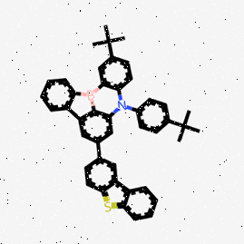 CC(C)(C)c1ccc(N2c3ccc(C(C)(C)C)cc3B3c4ccccc4-c4cc(-c5ccc6sc7ccccc7c6c5)cc2c43)cc1